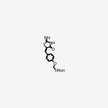 CCCCCCCCCCOc1ccc(C=C2SC(=N)NC2=O)cc1